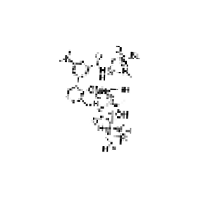 COc1c(CN2O[C@@H](CO)[C@@H]([C@H](C)O)[C@H]2C(=O)N[C@H]2C[C@H]3C[C@@H]([C@@H]2C)C3(C)C)cccc1-c1cc(C(=O)N[C@@H](CN(C)C)CS(=O)(=O)C(C)(C)C)cc(N(C)C)c1